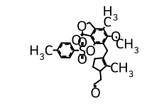 COc1c(C)c2c(c(OS(=O)(=O)c3ccc(C)cc3)c1CC1=C(C)C(CC=O)CC1)C(=O)OC2